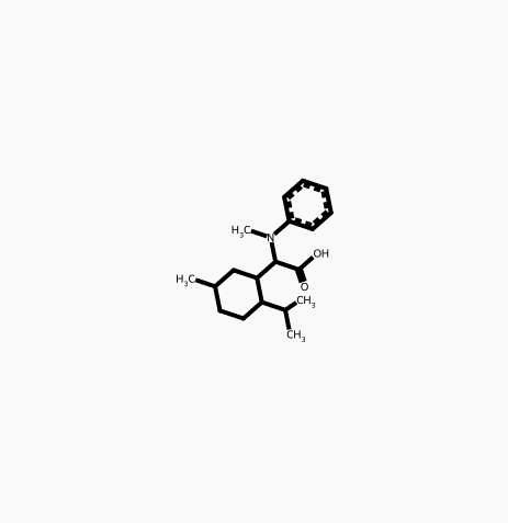 CC1CCC(C(C)C)C(C(C(=O)O)N(C)c2ccccc2)C1